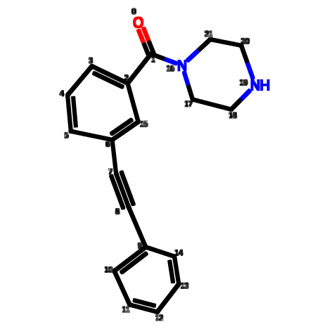 O=C(c1cccc(C#Cc2ccccc2)c1)N1CCNCC1